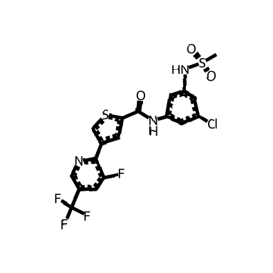 CS(=O)(=O)Nc1cc(Cl)cc(NC(=O)c2cc(-c3ncc(C(F)(F)F)cc3F)cs2)c1